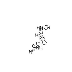 CN(C)C/C=C/C(=O)Nc1cccc(-c2cccc3cnc(Nc4ccc(NC5CCN(C)CC5)cc4)nc23)c1